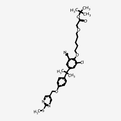 CSc1ncc(COc2ccc(C(C)(C)c3cc(Cl)c(OCCCCCOCC(=O)OC(C)(C)C)c(C#N)c3)cc2)cn1